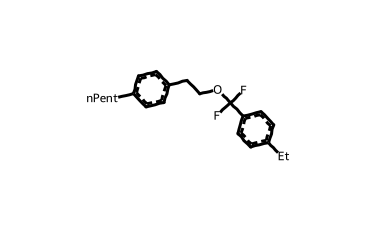 CCCCCc1ccc(CCOC(F)(F)c2ccc(CC)cc2)cc1